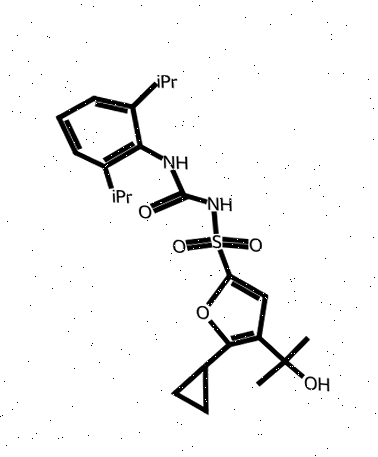 CC(C)c1cccc(C(C)C)c1NC(=O)NS(=O)(=O)c1cc(C(C)(C)O)c(C2CC2)o1